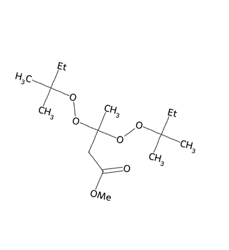 CCC(C)(C)OOC(C)(CC(=O)OC)OOC(C)(C)CC